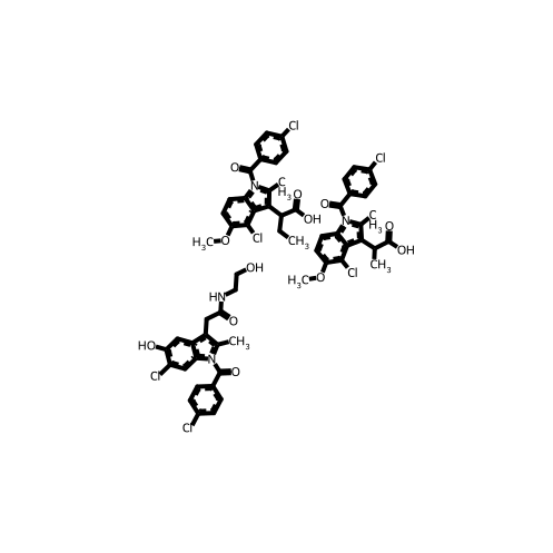 CCC(C(=O)O)c1c(C)n(C(=O)c2ccc(Cl)cc2)c2ccc(OC)c(Cl)c12.COc1ccc2c(c1Cl)c(C(C)C(=O)O)c(C)n2C(=O)c1ccc(Cl)cc1.Cc1c(CC(=O)NCCO)c2cc(O)c(Cl)cc2n1C(=O)c1ccc(Cl)cc1